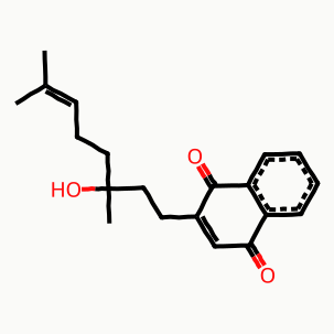 CC(C)=CCCC(C)(O)CCC1=CC(=O)c2ccccc2C1=O